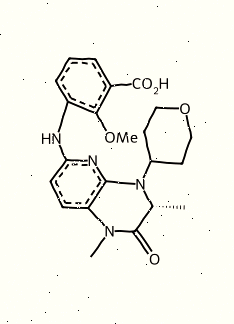 COc1c(Nc2ccc3c(n2)N(C2CCOCC2)[C@H](C)C(=O)N3C)cccc1C(=O)O